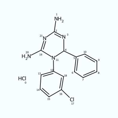 Cl.NC1=NC(c2ccccc2)N(c2cccc(Cl)c2)C(N)=N1